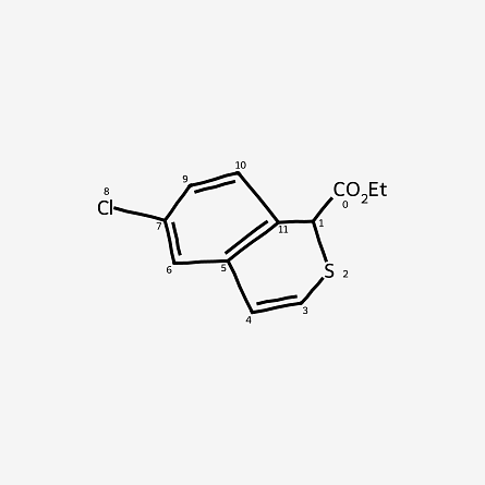 CCOC(=O)C1SC=Cc2cc(Cl)ccc21